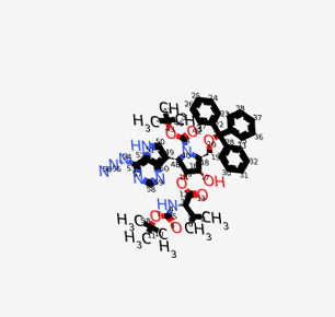 CC(C)[C@H](NC(=O)OC(C)(C)C)C(=O)O[C@@H]1[C@H](O)[C@@H](COC(c2ccccc2)(c2ccccc2)c2ccccc2)N(C(=O)OC(C)(C)C)[C@H]1c1c[nH]c2c(N=[N+]=[N-])ncnc12